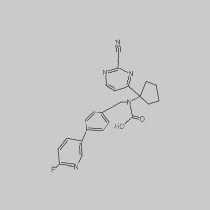 N#Cc1nccc(C2(N(Cc3ccc(-c4ccc(F)nc4)cc3)C(=O)O)CCCC2)n1